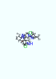 CCc1cccc(CC)c1-n1nc2c(c1-c1ccc(Cl)c3[nH]ccc13)CN(c1ncc(C3CC3)cc1Cl)CC2